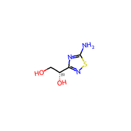 Nc1nc([C@H](O)CO)ns1